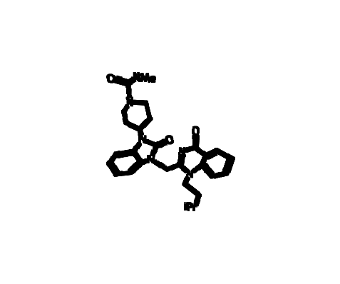 CNC(=O)N1CCC(n2c(=O)n(Cc3nc(=O)c4ccccc4n3CCC(C)C)c3ccccc32)CC1